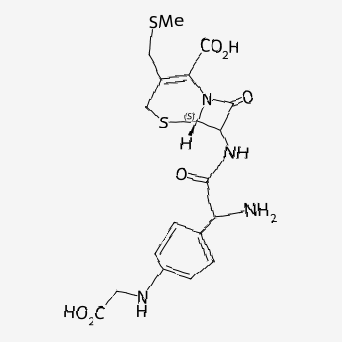 CSCC1=C(C(=O)O)N2C(=O)C(NC(=O)C(N)c3ccc(NCC(=O)O)cc3)[C@@H]2SC1